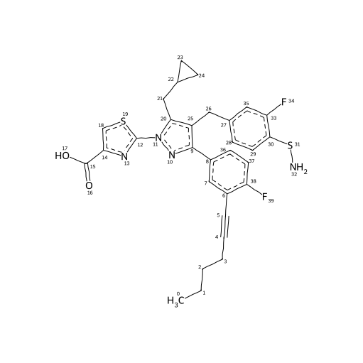 CCCCC#Cc1cc(-c2nn(-c3nc(C(=O)O)cs3)c(CC3CC3)c2Cc2ccc(SN)c(F)c2)ccc1F